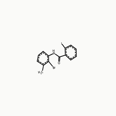 Cc1cccc(NC(=O)c2ccccc2I)c1Br